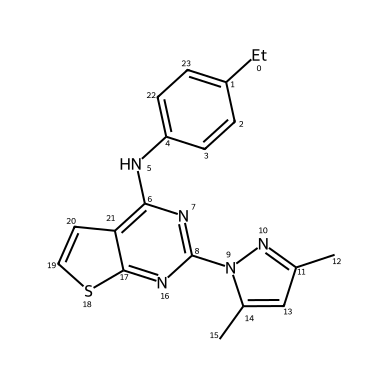 CCc1ccc(Nc2nc(-n3nc(C)cc3C)nc3sccc23)cc1